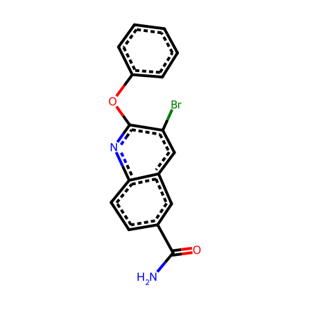 NC(=O)c1ccc2nc(Oc3ccccc3)c(Br)cc2c1